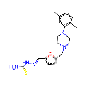 Cc1ccc(C)c(N2CCN(Cc3ccc(/C=N/NC(N)=S)o3)CC2)c1